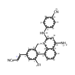 CCc1cc(/C=C/C#N)cc(C)c1-c1cccc2c(N)nc(Nc3ccc(C#N)cc3)nc12